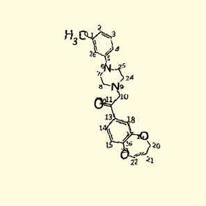 Cc1cccc(N2CCN(CC(=O)c3ccc4c(c3)OCC=CO4)CC2)c1